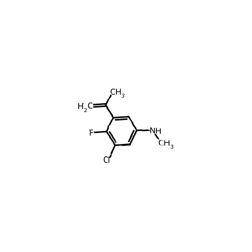 C=C(C)c1cc(NC)cc(Cl)c1F